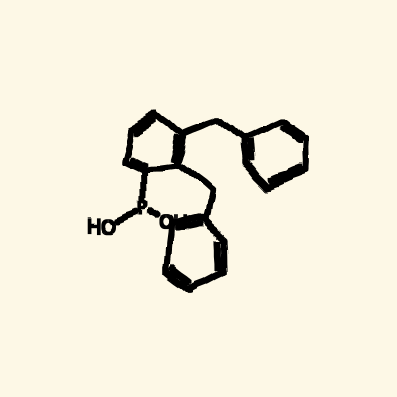 OP(O)c1cccc(Cc2ccccc2)c1Cc1ccccc1